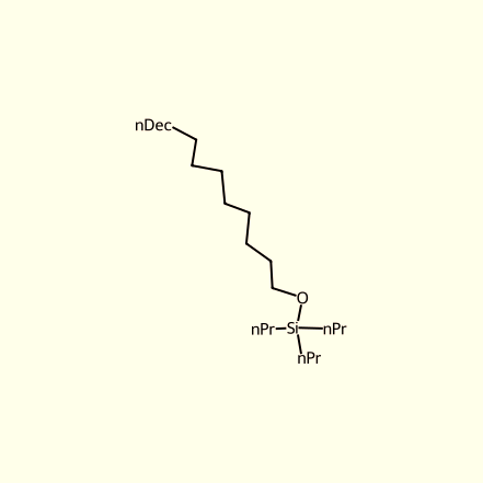 CCCCCCCCCCCCCCCCCCO[Si](CCC)(CCC)CCC